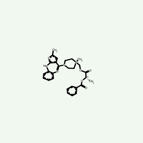 Cc1cc2c(s1)Nc1ccccc1N=C2N1CC[N+](C)(COC(=O)[C@H](C)OC(=O)c2ccccc2)CC1